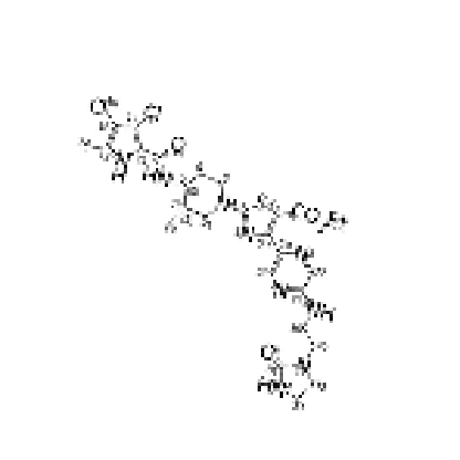 CCOC(=O)c1sc(N2CC[C@@H](NC(=O)c3[nH]c(C)c(Cl)c3Cl)[C@@H](C)C2)nc1-c1cnc(NCCN2CCNC2=O)cn1